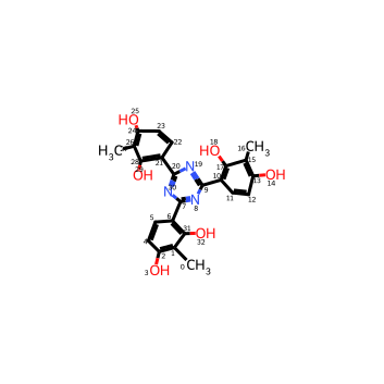 Cc1c(O)ccc(-c2nc(-c3ccc(O)c(C)c3O)nc(-c3ccc(O)c(C)c3O)n2)c1O